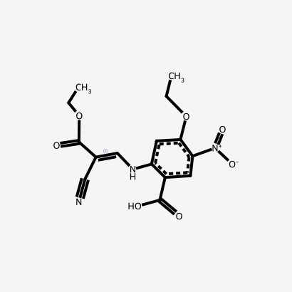 CCOC(=O)/C(C#N)=C/Nc1cc(OCC)c([N+](=O)[O-])cc1C(=O)O